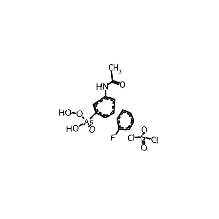 CC(=O)Nc1cccc([As](=O)(O)OO)c1.Fc1ccccc1.O=S(=O)(Cl)Cl